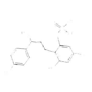 CC(CCc1c(O)cc(O)cc1SP(=O)(O)O)c1ccc(O)cc1